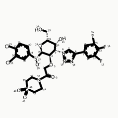 O=C(CO[C@@H]1[C@@H](n2cc(-c3cc(F)c(F)c(F)c3)nn2)[C@@H](O)[C@@H](CO)O[C@@H]1[S@@+]([O-])c1ccc(Cl)c(Cl)c1)N1CCS(=O)(=O)CC1